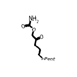 CCCCCCCCC(=O)COC(N)=O